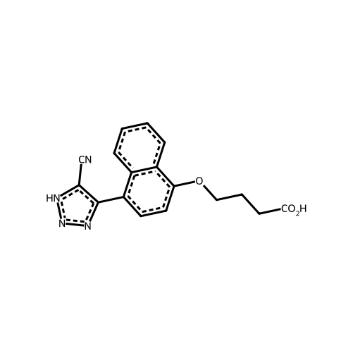 N#Cc1[nH]nnc1-c1ccc(OCCCC(=O)O)c2ccccc12